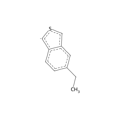 CCc1ccc2[c]scc2c1